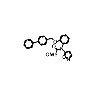 COC(=O)N(c1ccno1)c1ccccc1OCc1ccc(-c2ccccc2)cc1